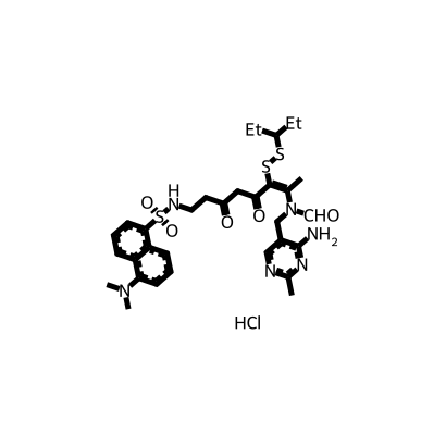 CCC(CC)SSC(C(=O)CC(=O)CCNS(=O)(=O)c1cccc2c(N(C)C)cccc12)=C(C)N(C=O)Cc1cnc(C)nc1N.Cl